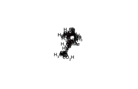 CC[C@H]1OC(=O)[C@H](C)[C@@H](O[C@H]2C[C@@](C)(OC)[C@@H](OS(=O)(=O)CCNCCCc3ccc4c(n3)c(=O)c(C(=O)O)cn4N(C)C)[C@H](C)O2)[C@H](C)[C@@H](O[C@@H]2O[C@H](C)C[C@H](N(C)C)[C@H]2O)[C@](C)(O)C[C@@H](C)/C(=N\OCc2cc(C)on2)[C@H](C)[C@@H](O)[C@]1(C)O